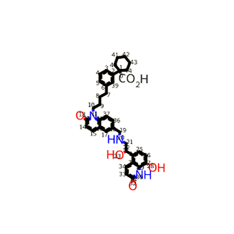 O=C(O)C1(c2cccc(CCCCn3c(=O)ccc4cc(CNCC(O)c5ccc(O)c6[nH]c(=O)ccc56)ccc43)c2)CCCCC1